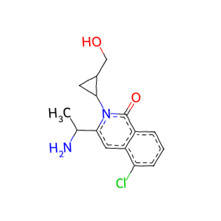 CC(N)c1cc2c(Cl)cccc2c(=O)n1C1CC1CO